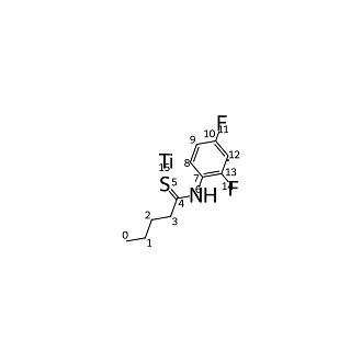 CCCCC(=S)Nc1ccc(F)[c]c1F.[Ti]